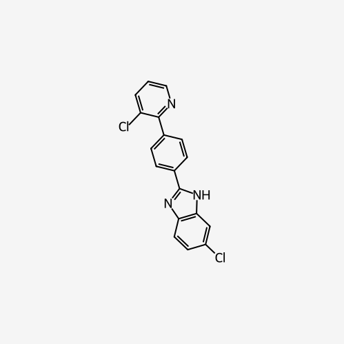 Clc1ccc2nc(-c3ccc(-c4ncccc4Cl)cc3)[nH]c2c1